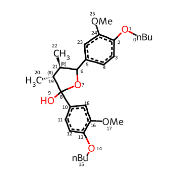 CCCCOc1ccc(C2OC(O)(c3ccc(OCCCC)c(OC)c3)[C@H](C)[C@H]2C)cc1OC